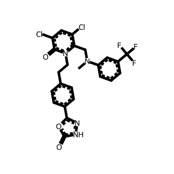 CN(Cc1c(Cl)cc(Cl)c(=O)n1CCc1ccc(-c2n[nH]c(=O)o2)cc1)c1cccc(C(F)(F)F)c1